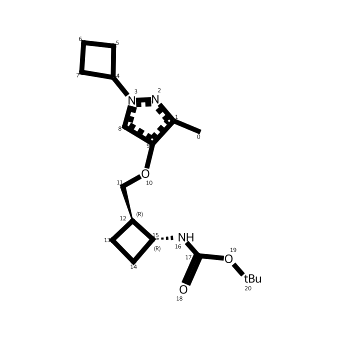 Cc1nn(C2CCC2)cc1OC[C@@H]1CC[C@H]1NC(=O)OC(C)(C)C